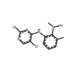 CC(=O)N(C)c1c(C)cccc1Nc1nc(Cl)ncc1Cl